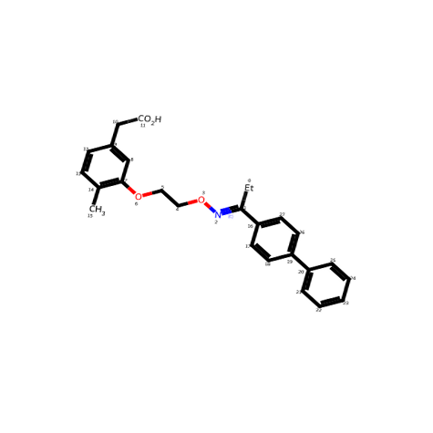 CC/C(=N\OCCOc1cc(CC(=O)O)ccc1C)c1ccc(-c2ccccc2)cc1